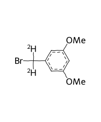 [2H]C([2H])(Br)c1cc(OC)cc(OC)c1